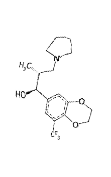 C[C@H](CN1CCCC1)[C@H](O)c1cc2c(c(C(F)(F)F)c1)OCCO2